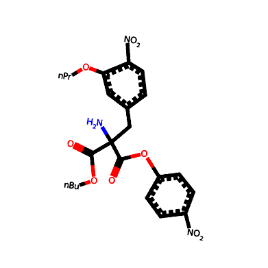 CCCCOC(=O)C(N)(Cc1ccc([N+](=O)[O-])c(OCCC)c1)C(=O)Oc1ccc([N+](=O)[O-])cc1